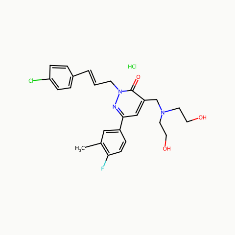 Cc1cc(-c2cc(CN(CCO)CCO)c(=O)n(CC=Cc3ccc(Cl)cc3)n2)ccc1F.Cl